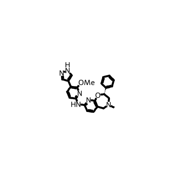 COc1nc(Nc2ccc3c(n2)O[C@H](c2ccccc2)CN(C)C3)ccc1-c1cn[nH]c1